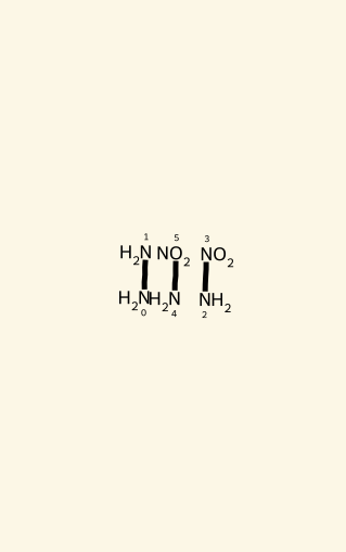 NN.N[N+](=O)[O-].N[N+](=O)[O-]